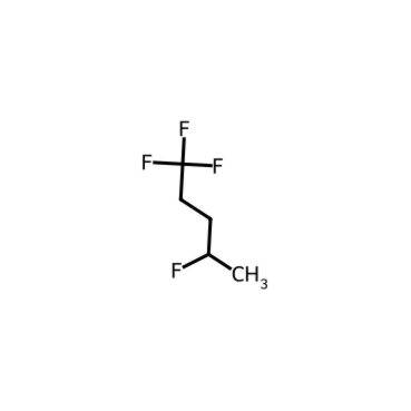 CC(F)CCC(F)(F)F